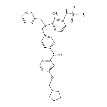 Cc1c(NS(C)(=O)=O)cccc1N(Cc1ccccc1)Cc1ccc(C(=O)c2cccc(OCC3CCCC3)c2)cc1